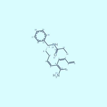 C=C\C=C/C(/C=C\CC[C@@H](NC(=O)CC)c1ccccc1)=C(\C)N